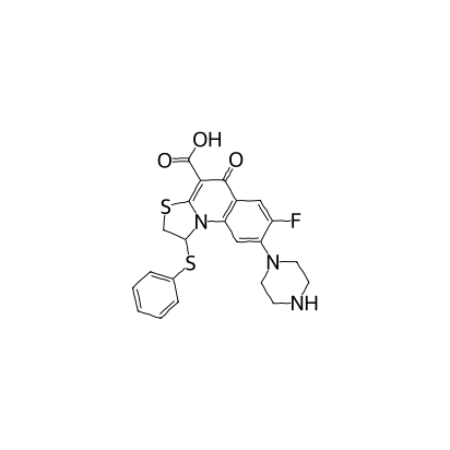 O=C(O)c1c2n(c3cc(N4CCNCC4)c(F)cc3c1=O)C(Sc1ccccc1)CS2